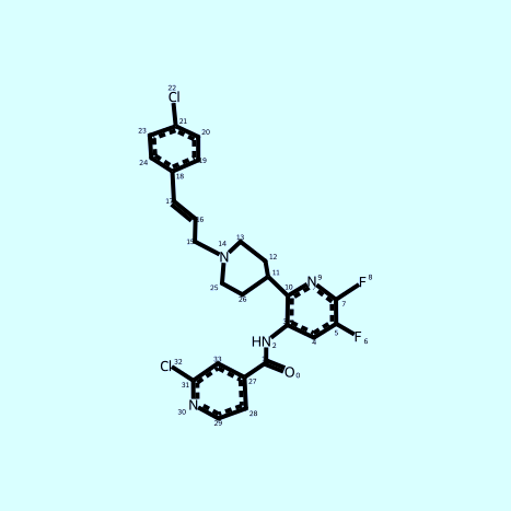 O=C(Nc1cc(F)c(F)nc1C1CCN(CC=Cc2ccc(Cl)cc2)CC1)c1ccnc(Cl)c1